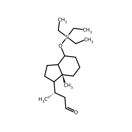 CC[Si](CC)(CC)OC1CCC[C@@]2(C)C1CCC2[C@@H](C)CC=O